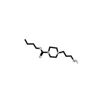 CCCCOC(=O)N1CCN(CCCN)CC1